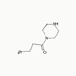 CC(C)[CH]CC(=O)N1CCNCC1